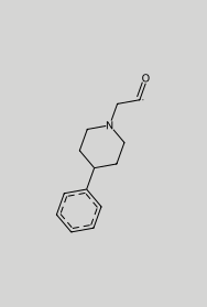 O=[C]CN1CCC(c2ccccc2)CC1